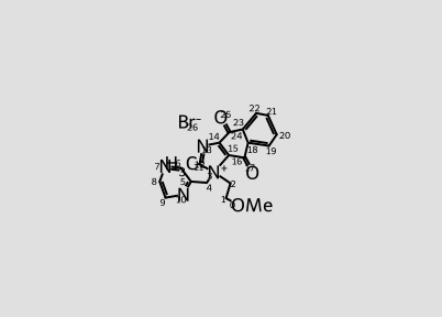 COCC[N+]1(Cc2cnccn2)C(C)=NC2=C1C(=O)c1ccccc1C2=O.[Br-]